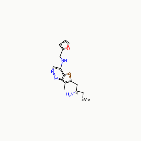 CSC[C@H](N)Cc1sc2c(NCc3ccco3)cnnc2c1C